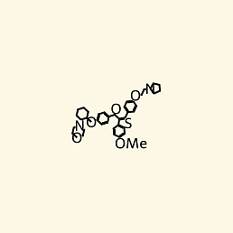 COc1ccc2c(C(=O)c3ccc(OC4CCCCC4N4CCOCC4)cc3)c(-c3ccc(OCCN4CCCC4)cc3)sc2c1